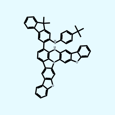 CC(C)(C)c1ccc(Nc2cc3c(cc2-c2ccc4c5cc6c(cc5n5c4c2Bc2cc4c(cc2-5)oc2ccccc24)oc2ccccc26)-c2ccccc2C3(C)C)cc1